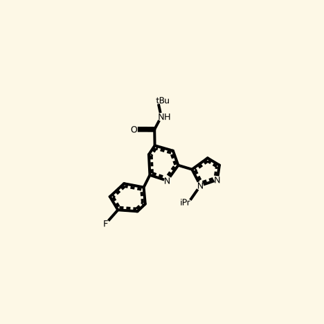 CC(C)n1nccc1-c1cc(C(=O)NC(C)(C)C)cc(-c2ccc(F)cc2)n1